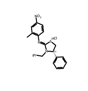 Cc1cc([N+](=O)[O-])ccc1N=C1SC[C@H](c2ccccc2)N1CC(C)C.Cl